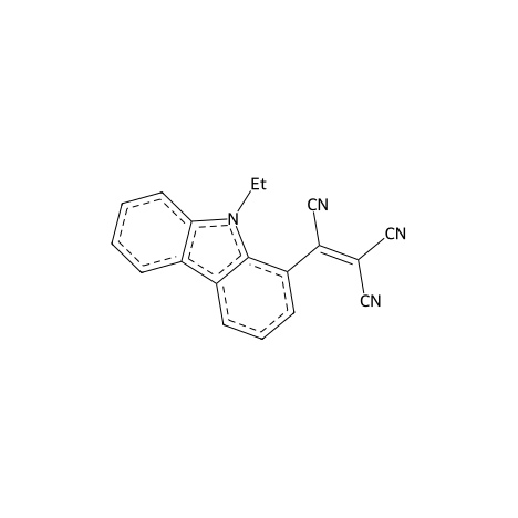 CCn1c2ccccc2c2cccc(C(C#N)=C(C#N)C#N)c21